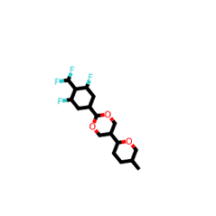 CC1CCC(C2COC(C3CC(F)C(C(F)F)C(F)C3)OC2)OC1